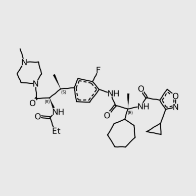 CCC(=O)N[C@@H](C(=O)N1CCN(C)CC1)[C@@H](C)c1ccc(NC(=O)[C@](C)(NC(=O)c2conc2C2CC2)C2CCCCCC2)c(F)c1